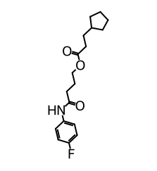 O=C(CCCOC(=O)CCC1CCCC1)Nc1ccc(F)cc1